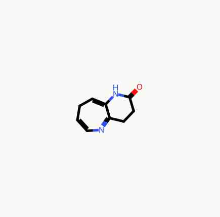 O=C1CCC2=NC=CCC=C2N1